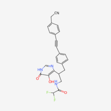 N#CCc1ccc(C#Cc2ccc(CC(CNC(=O)C(F)F)c3nc[nH]c(=O)c3O)cc2)cc1